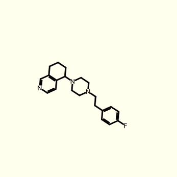 Fc1ccc(CCN2CCN(C3CCCc4cnccc43)CC2)cc1